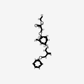 C=C(COc1ccccc1)CSc1ccc(OCC(=O)OCC)c(C)c1